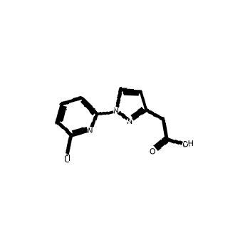 O=C(O)Cc1ccn(-c2cccc(Cl)n2)n1